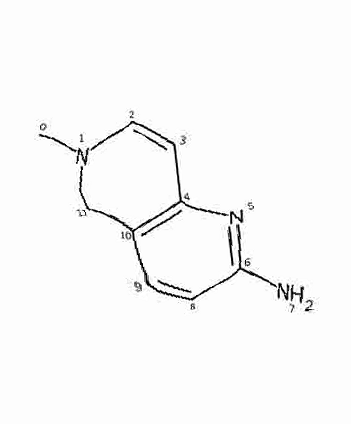 CN1C=Cc2nc(N)ccc2C1